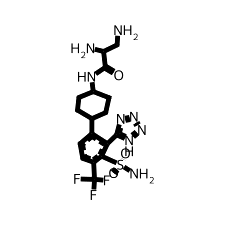 NCC(N)C(=O)NC1CCC(c2ccc(C(F)(F)F)c(S(N)(=O)=O)c2-c2nnn[nH]2)CC1